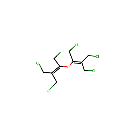 ClCC(CCl)=C(CCl)OC(CCl)=C(CCl)CCl